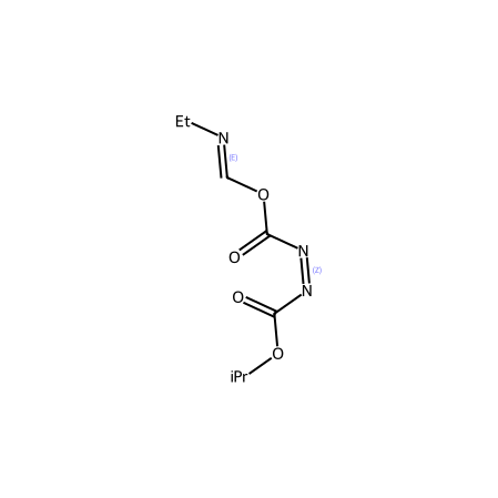 CC/N=C/OC(=O)/N=N\C(=O)OC(C)C